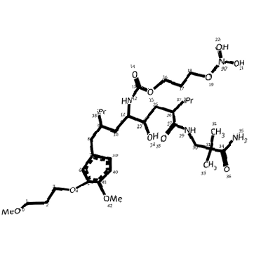 COCCCOc1cc(CC(CC(NC(=O)OCCCON(O)O)C(O)CC(C(=O)NCC(C)(C)C(N)=O)C(C)C)C(C)C)ccc1OC